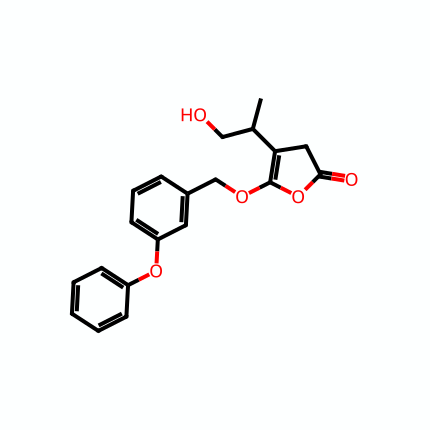 CC(CO)C1=C(OCc2cccc(Oc3ccccc3)c2)OC(=O)C1